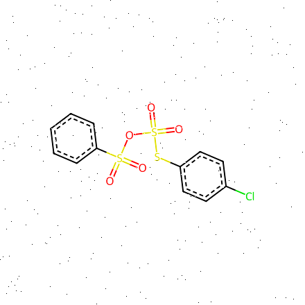 O=S(=O)(OS(=O)(=O)c1ccccc1)Sc1ccc(Cl)cc1